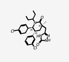 CCC(CC)N1C(=O)[C@@](C)(Cc2n[nH]c(=O)[nH]2)C[C@H](c2cccc(Cl)c2)[C@H]1C1C=CC(Cl)=CC1